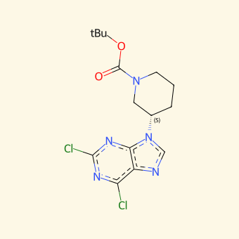 CC(C)(C)OC(=O)N1CCC[C@H](n2cnc3c(Cl)nc(Cl)nc32)C1